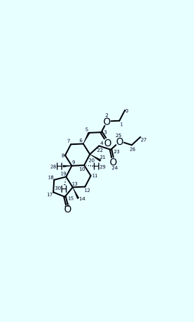 CCOC(=O)C[C@@H]1CC[C@@H]2[C@H](CC[C@]3(C)C(=O)CC[C@@H]23)[C@@]1(C)CC(=O)OCC